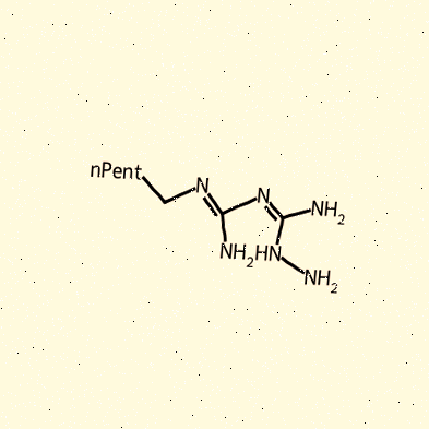 CCCCCC/N=C(N)/N=C(/N)NN